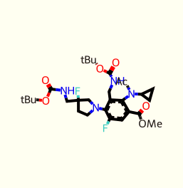 COC(=O)c1cc(F)c(N2CCC(F)(CNC(=O)OC(C)(C)C)C2)c(CNC(=O)OC(C)(C)C)c1N(C(C)=O)C1CC1